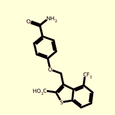 NC(=O)c1ccc(OCc2c(C(=O)O)sc3cccc(C(F)(F)F)c23)cc1